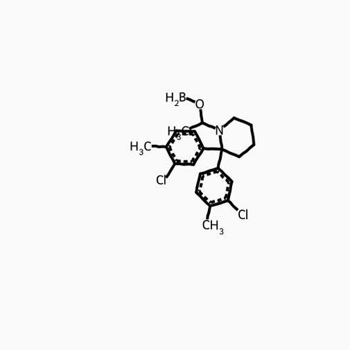 BOC(C)N1CCCCC1(c1ccc(C)c(Cl)c1)c1ccc(C)c(Cl)c1